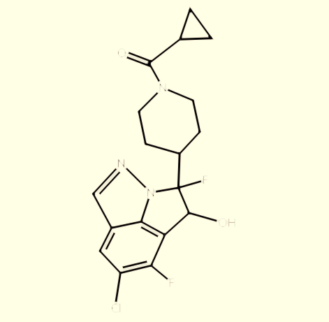 O=C(C1CC1)N1CCC(C2(F)C(O)c3c(F)c(Cl)cc4cnn2c34)CC1